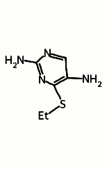 CCSc1nc(N)ncc1N